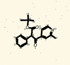 Cc1cc(C(=O)C(C(=O)OC(C)(C)C)c2ccccc2)ccn1